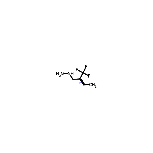 C/C=C(/CNN)C(F)(F)F